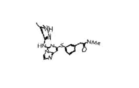 CNC(=O)Cc1cccc(Sc2cc3nccn3c(Nc3cc(C)[nH]n3)n2)c1